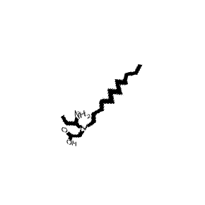 CCCCCCCCCCCCN(CC(=O)O)C(N)CC